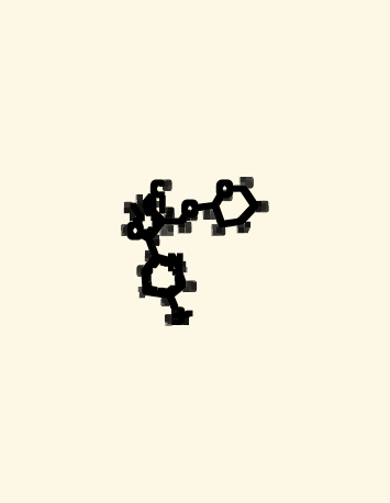 Cc1noc(-c2ccc(Br)cn2)c1COC1CCCCO1